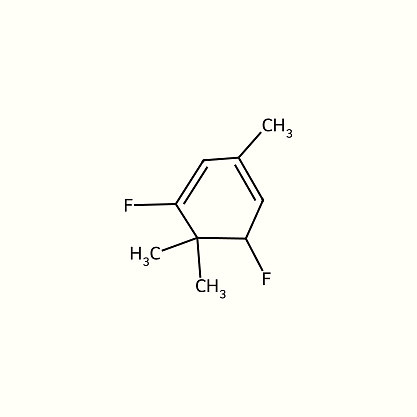 CC1=CC(F)C(C)(C)C(F)=C1